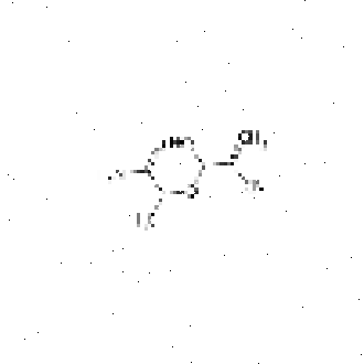 C=C(C#N)C(O)OC(C)C(N)=O